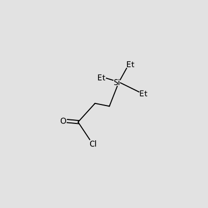 CC[Si](CC)(CC)CCC(=O)Cl